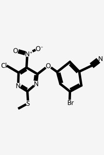 CSc1nc(Cl)c([N+](=O)[O-])c(Oc2cc(Br)cc(C#N)c2)n1